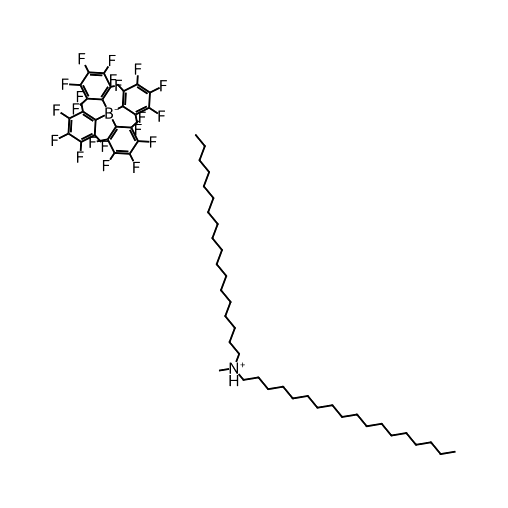 CCCCCCCCCCCCCCCCCC[NH+](C)CCCCCCCCCCCCCCCCCC.Fc1c(F)c(F)c([B-](c2c(F)c(F)c(F)c(F)c2F)(c2c(F)c(F)c(F)c(F)c2F)c2c(F)c(F)c(F)c(F)c2F)c(F)c1F